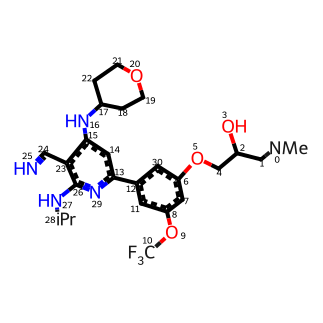 CNCC(O)COc1cc(OC(F)(F)F)cc(-c2cc(NC3CCOCC3)c(C=N)c(NC(C)C)n2)c1